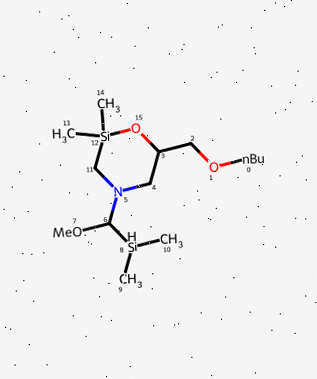 CCCCOCC1CN(C(OC)[SiH](C)C)C[Si](C)(C)O1